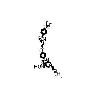 COCCN1CCC(CNO)(S(=O)(=O)c2ccc(OCCCn3nnc(-c4ccc(OC(F)(F)F)cc4)n3)cc2)CC1